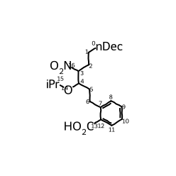 CCCCCCCCCCCCC(C(CCc1ccccc1C(=O)O)OC(C)C)[N+](=O)[O-]